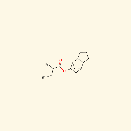 CC(C)CC(C(=O)OC1CC2CC1C1CCCC21)C(C)C